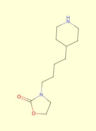 O=C1OCCN1CCCCC1CCNCC1